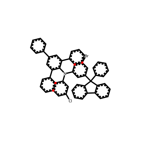 Clc1cccc(N(c2cc(Br)cc(C3(c4ccccc4)c4ccccc4-c4ccccc43)c2)c2c(-c3ccccc3)cc(-c3ccccc3)cc2-c2ccccc2)c1